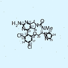 CNC(=O)N1Cc2nc(N)nc(-c3c(Cl)cc(Cl)cc3OCCn3cccn3)c2C1